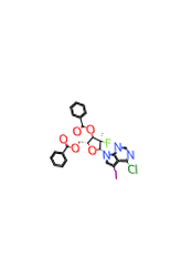 C[C@@]1(F)[C@H](OC(=O)c2ccccc2)[C@@H](COC(=O)c2ccccc2)O[C@H]1n1cc(I)c2c(Cl)ncnc21